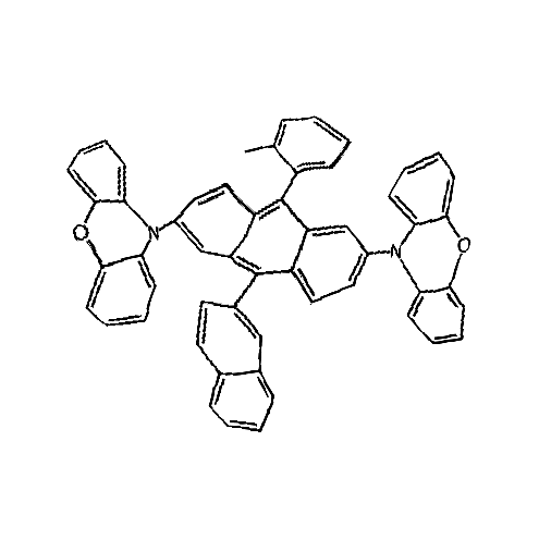 Cc1ccccc1-c1c2ccc(N3c4ccccc4Oc4ccccc43)cc2c(-c2ccc3ccccc3c2)c2ccc(N3c4ccccc4Oc4ccccc43)cc12